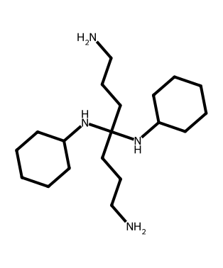 NCCCC(CCCN)(NC1CCCCC1)NC1CCCCC1